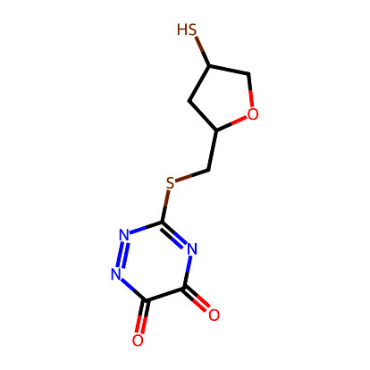 O=C1N=NC(SCC2CC(S)CO2)=NC1=O